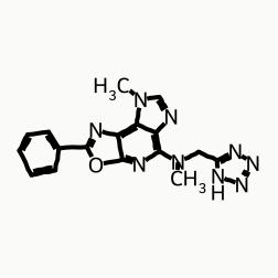 CN(Cc1nnn[nH]1)c1nc2oc(-c3ccccc3)nc2c2c1ncn2C